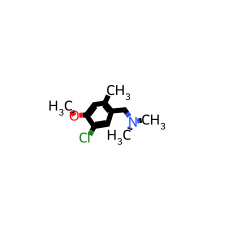 COc1cc(C)c(CN(C)C)cc1Cl